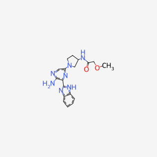 COCC(=O)NC1CCN(c2cnc(N)c(-c3nc4ccccc4[nH]3)n2)C1